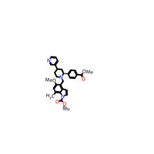 COC(=O)c1ccc([C@@H]2CC(c3cccnc3)CCN2Cc2c(OC)cc(C)c3c2ccn3C(=O)OC(C)(C)C)cc1